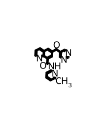 Cc1cccc(NC(=O)c2cc(C(=O)c3cncnc3)cc3cccnc23)n1